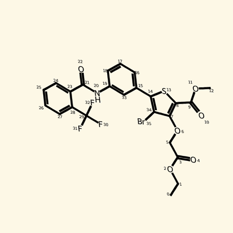 CCOC(=O)COc1c(C(=O)OC)sc(-c2cccc(NC(=O)c3ccccc3C(F)(F)F)c2)c1Br